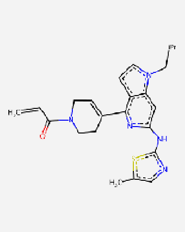 C=CC(=O)N1CC=C(c2nc(Nc3ncc(C)s3)cc3c2ccn3CC(C)C)CC1